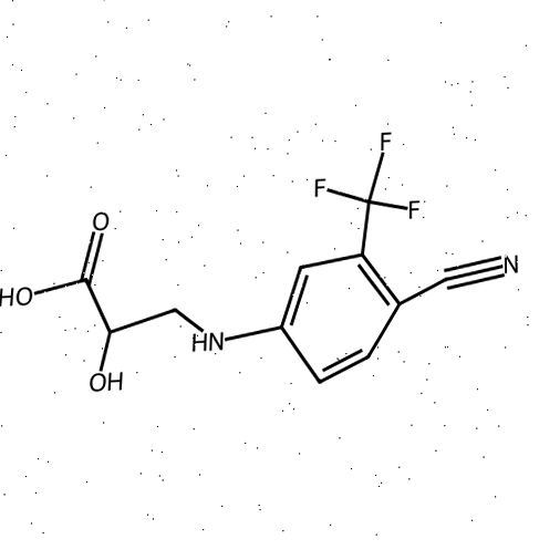 N#Cc1ccc(NCC(O)C(=O)O)cc1C(F)(F)F